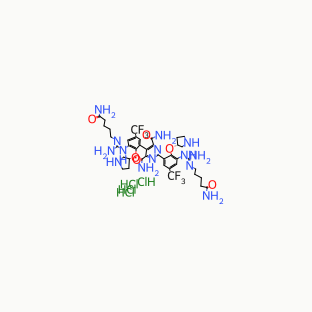 Cl.Cl.Cl.Cl.NC(=O)CCCCN=C(N)Nc1cc(C(F)(F)F)cc(-c2nc(C(N)=O)c(-c3cc(C(F)(F)F)cc(NC(N)=NCCCCC(N)=O)c3O[C@@H]3CCNC3)c(C(N)=O)n2)c1O[C@@H]1CCNC1